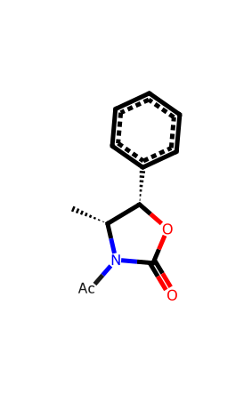 CC(=O)N1C(=O)O[C@@H](c2ccccc2)[C@H]1C